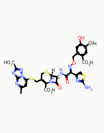 CC(=O)Oc1cc(C(=O)O)c(CON=C(C(=O)N[C@@H]2C(=O)N3C(C(=O)O)=C(CSc4cc(C)nc5nc(C(=O)O)nn45)CS[C@H]23)c2csc(N)n2)cc1O